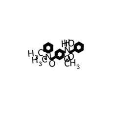 COc1cc(C(=O)N(C)c2ccccc2C)ccc1NC(=O)c1ccccc1O